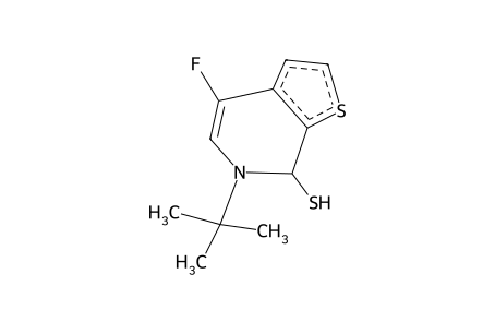 CC(C)(C)N1C=C(F)c2ccsc2C1S